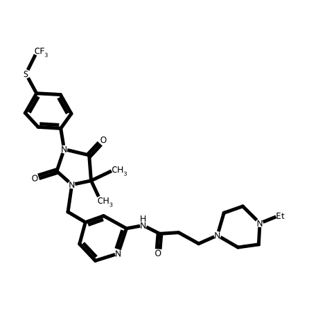 CCN1CCN(CCC(=O)Nc2cc(CN3C(=O)N(c4ccc(SC(F)(F)F)cc4)C(=O)C3(C)C)ccn2)CC1